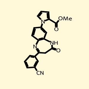 COC(=O)c1cccn1-c1ccc2c(c1)NC(=O)CC(c1cccc(C#N)c1)=N2